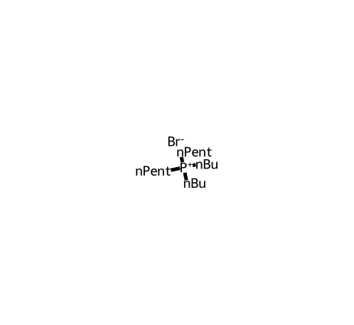 CCCCC[P+](CCCC)(CCCC)CCCCC.[Br-]